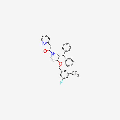 O=C(Cc1ccccn1)N1CC[C@H](OCc2cc(F)cc(C(F)(F)F)c2)[C@H](C(c2ccccc2)c2ccccc2)C1